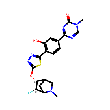 CN1CC2CC1[C@H](F)[C@@H]2Oc1nnc(-c2ccc(-c3ncn(C)c(=O)n3)cc2O)s1